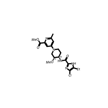 CCc1[nH]c(C(=O)N[C@@H]2CCN(c3cc(C)nc(C(=O)OC)c3)C[C@@H]2OC)nc1Cl